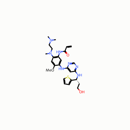 C=CC(=O)Nc1cc(Nc2cc(N[C@H](CCO)c3cccs3)ncn2)c(OC)cc1N(C)CCN(C)C